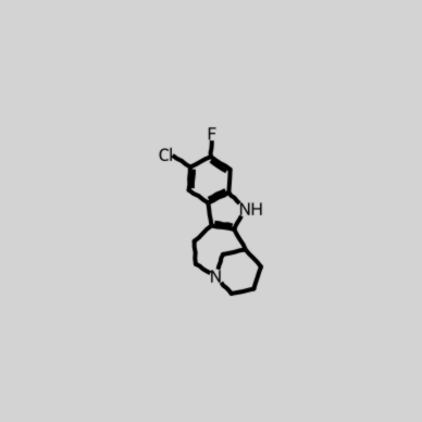 Fc1cc2[nH]c3c(c2cc1Cl)CCN1CCCC3C1